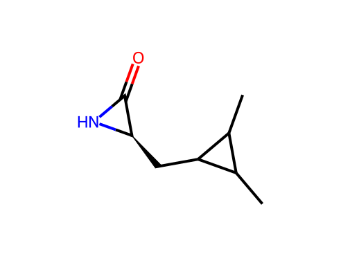 CC1C(C)C1C[C@H]1NC1=O